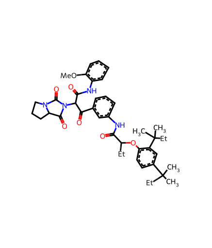 CCC(Oc1ccc(C(C)(C)CC)cc1C(C)(C)CC)C(=O)Nc1cccc(C(=O)C(C(=O)Nc2ccccc2OC)N2C(=O)C3CCCN3C2=O)c1